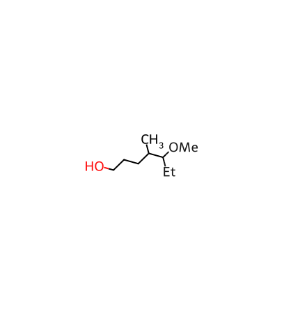 CCC(OC)C(C)CCCO